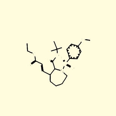 CCOC(=O)C=CC1CCCCN(S(=O)(=O)c2ccc(OC)cc2)C1C(=O)OC(C)(C)C